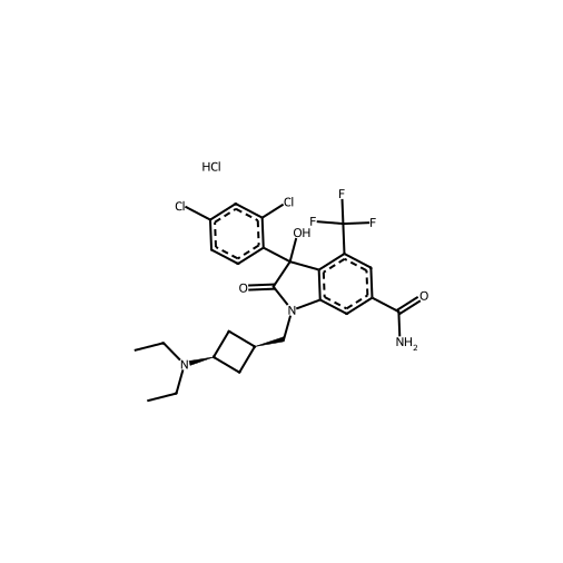 CCN(CC)[C@H]1C[C@@H](CN2C(=O)C(O)(c3ccc(Cl)cc3Cl)c3c2cc(C(N)=O)cc3C(F)(F)F)C1.Cl